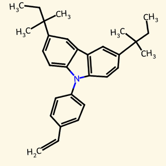 C=Cc1ccc(-n2c3ccc(C(C)(C)CC)cc3c3cc(C(C)(C)CC)ccc32)cc1